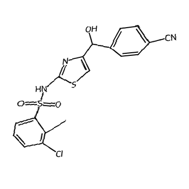 Cc1c(Cl)cccc1S(=O)(=O)Nc1nc(C(O)c2ccc(C#N)cc2)cs1